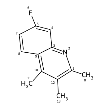 Cc1nc2cc(F)ccc2c(C)c1C